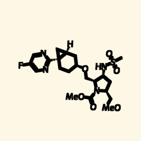 COC[C@@H]1C[C@H](NS(C)(=O)=O)[C@H](CO[C@H]2CC[C@@]3(c4ncc(F)cn4)C[C@H]3C2)N1C(=O)OC